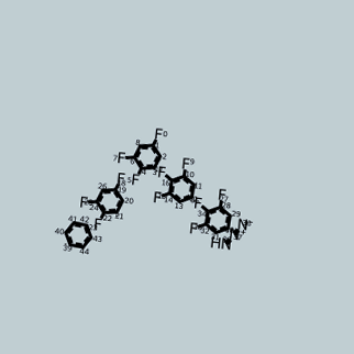 Fc1[c]cc(F)c(F)c1.Fc1[c]ccc(F)c1F.Fc1c[c]c(F)c(F)c1.Fc1c[c]cc(F)c1F.[N-]=[N+]=N.[c]1ccccc1